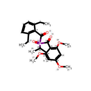 CCc1cccc(CC)c1C(=O)P(=O)(C(=O)c1c(OC)cc(OC)cc1OC)C(C)CC